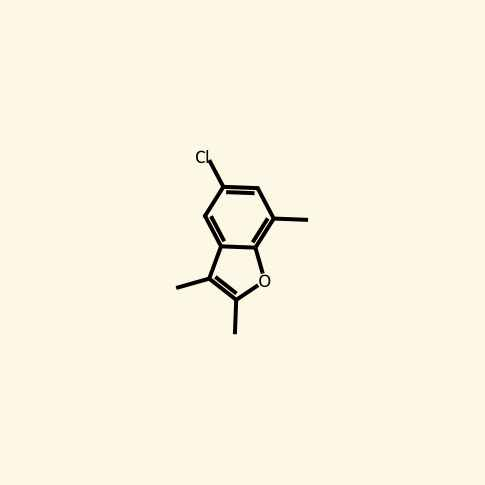 Cc1oc2c(C)cc(Cl)cc2c1C